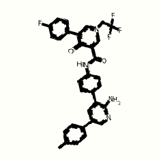 Cc1ccc(-c2cnc(N)c(-c3ccc(NC(=O)c4cn(CC(F)(F)F)cc(-c5ccc(F)cc5)c4=O)cc3)c2)cc1